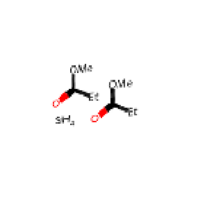 CCC(=O)OC.CCC(=O)OC.[SiH4]